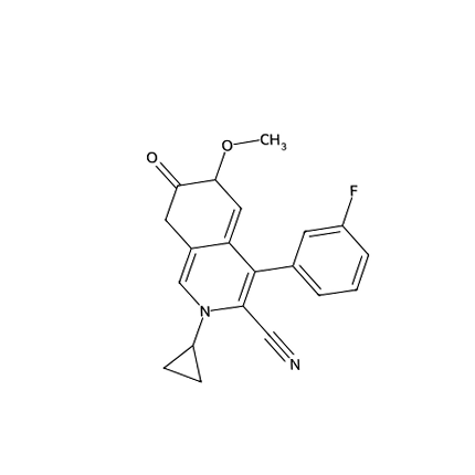 COC1C=C2C(=CN(C3CC3)C(C#N)=C2c2cccc(F)c2)CC1=O